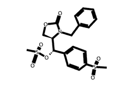 CS(=O)(=O)O[C@@H](c1ccc(S(C)(=O)=O)cc1)[C@H]1COC(=O)N1Cc1ccccc1